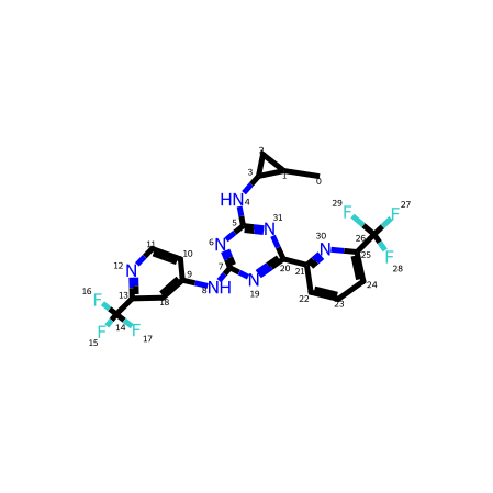 CC1CC1Nc1nc(Nc2ccnc(C(F)(F)F)c2)nc(-c2cccc(C(F)(F)F)n2)n1